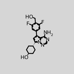 Nc1ncnn2c1c(-c1cc(F)c(CO)c(F)c1)cc2[C@H]1CC[C@H](O)CC1